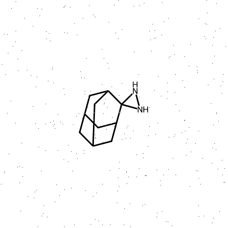 C1C2CC3CC1CC(C2)C31NN1